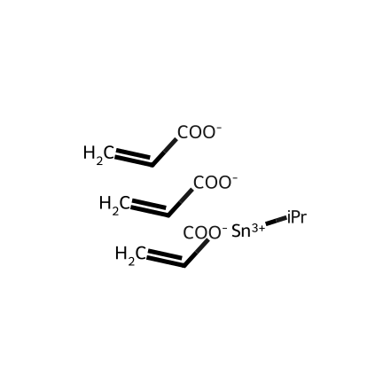 C=CC(=O)[O-].C=CC(=O)[O-].C=CC(=O)[O-].C[CH](C)[Sn+3]